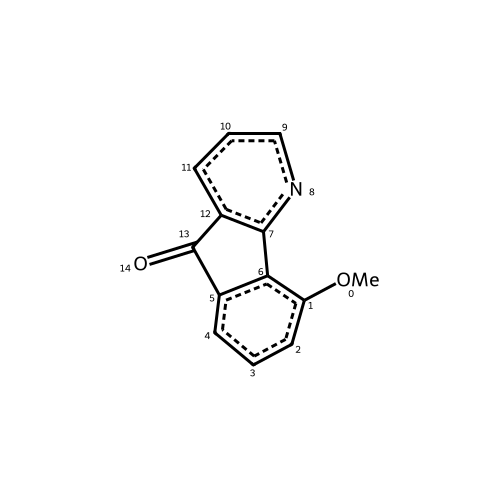 COc1cccc2c1-c1ncccc1C2=O